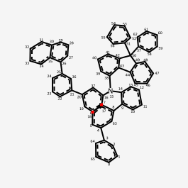 c1ccc(-c2cccc(-c3ccccc3N(c3cccc(-c4cccc(-c5cccc6ccccc56)c4)c3)c3cccc4c3-c3ccccc3C4(c3ccccc3)c3ccccc3)c2)cc1